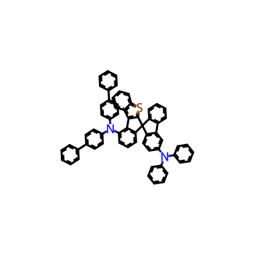 c1ccc(-c2ccc(N(c3ccc(-c4ccccc4)cc3)c3cccc4c3-c3c(sc5ccccc35)C43c4ccccc4-c4cc(N(c5ccccc5)c5ccccc5)ccc43)cc2)cc1